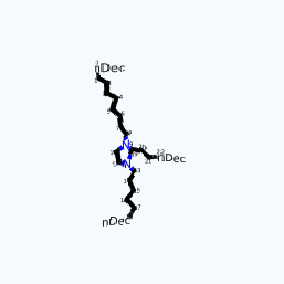 CCCCCCCCCCCCCCCCCCN1C=CN(CCCCCCCCCCCCCCC)C1CCCCCCCCCCCC